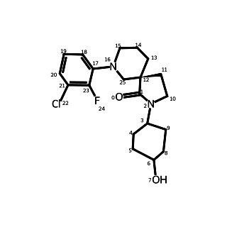 O=C1N(C2CCC(O)CC2)CC[C@@]12CCCN(c1cccc(Cl)c1F)C2